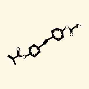 C=C(C)C(=O)Oc1ccc(C#Cc2ccc(OC(=O)C(C)C)cc2)cc1